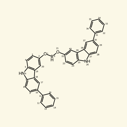 B(Oc1ccc2[nH]c3ccc(-c4ccccc4)cc3c2c1)Oc1ccc2[nH]c3ccc(-c4ccccc4)cc3c2c1